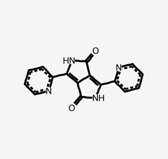 O=C1NC(c2ccccn2)=C2C(=O)NC(c3ccccn3)=C12